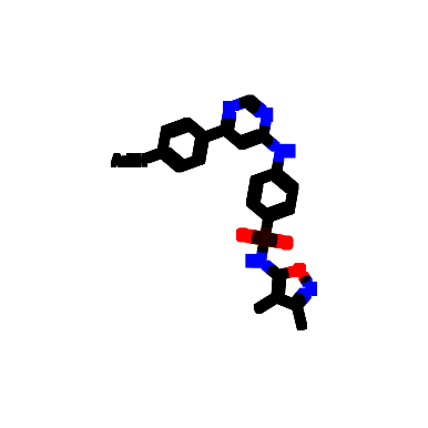 CC(=O)Nc1ccc(-c2cc(Nc3ccc(S(=O)(=O)Nc4onc(C)c4C)cc3)ncn2)cc1